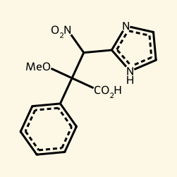 COC(C(=O)O)(c1ccccc1)C(c1ncc[nH]1)[N+](=O)[O-]